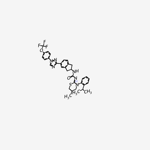 CC1CS/C(=N\C(=O)NC2Cc3ccc(-c4ncn(-c5ccc(OC(F)(F)F)cc5)n4)cc3C2)N(c2ccccc2C(C)C)C1